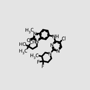 CC1CN(c2ncc(Cl)c(Nc3ccc4c(c3)n(CCC(C)(C)O)c(=O)n4C)n2)CCC1(F)F